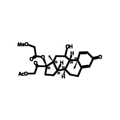 COCC(=O)O[C@]1(C(=O)COC(C)=O)CC[C@H]2[C@@H]3CCC4=CC(=O)C=C[C@]4(C)[C@H]3C(O)C[C@@]21C